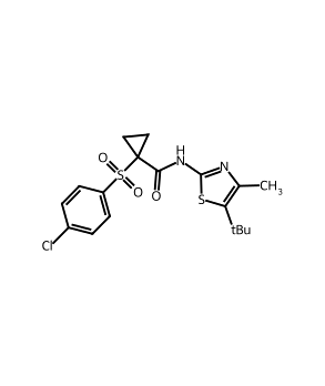 Cc1nc(NC(=O)C2(S(=O)(=O)c3ccc(Cl)cc3)CC2)sc1C(C)(C)C